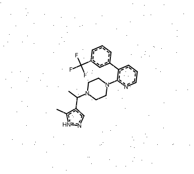 Cc1[nH]ncc1C(C)N1CCN(c2ncccc2-c2cccc(C(F)(F)F)c2)CC1